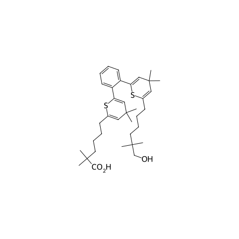 CC1(C)C=C(CCCCC(C)(C)CO)SC(c2ccccc2C2=CC(C)(C)C=C(CCCCC(C)(C)C(=O)O)S2)=C1